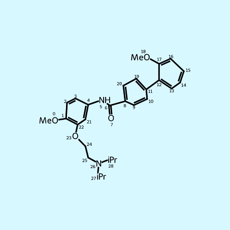 COc1ccc(NC(=O)c2ccc(-c3ccccc3OC)cc2)cc1OCCN(C(C)C)C(C)C